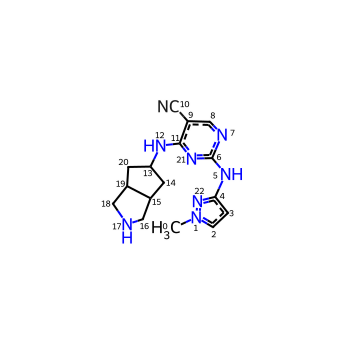 Cn1ccc(Nc2ncc(C#N)c(NC3CC4CNCC4C3)n2)n1